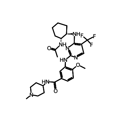 COc1ccc(C(=O)NC2CCN(C)CC2)cc1Nc1ncc(C(F)(F)F)c(N[C@@H]2CCCC[C@H]2NC(C)=O)n1